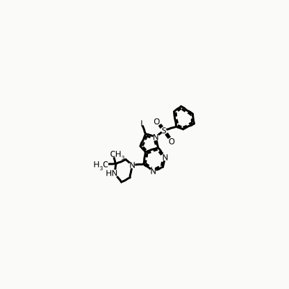 CC1(C)CN(c2ncnc3c2cc(I)n3S(=O)(=O)c2ccccc2)CCN1